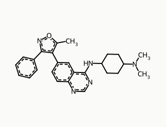 Cc1onc(-c2ccccc2)c1-c1ccc2ncnc(NC3CCC(N(C)C)CC3)c2c1